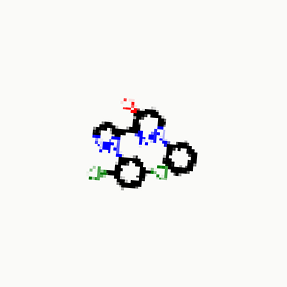 O=c1ccn(-c2ccccc2)nc1-c1ccnn1-c1cc(Cl)ccc1Cl